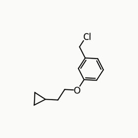 ClCc1cccc(OCCC2CC2)c1